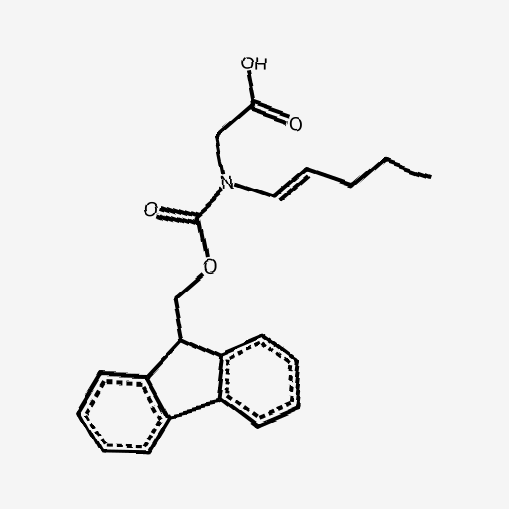 CCCC=CN(CC(=O)O)C(=O)OCC1c2ccccc2-c2ccccc21